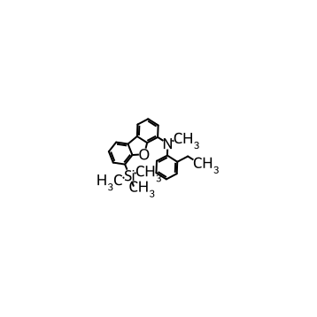 CCc1ccccc1N(C)c1cccc2c1oc1c([Si](C)(C)C)cccc12